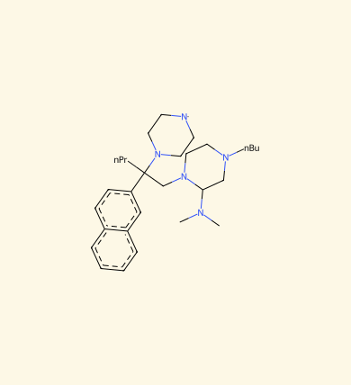 CCCCN1CCN(CC(CCC)(c2ccc3ccccc3c2)N2CC[N]CC2)C(N(C)C)C1